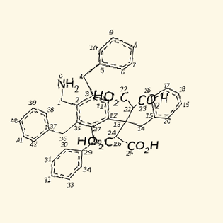 NCc1c(Cc2ccccc2)cc(C(Cc2ccccc2)(C(C(=O)O)C(=O)O)C(C(=O)O)C(=O)O)c(Cc2ccccc2)c1Cc1ccccc1